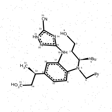 CCCC[C@H](CCO)N(CC(C)C)c1ccc([C@H](C)CC(=O)O)cc1Nc1n[nH]c(C#N)n1